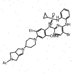 CCc1cc(Nc2ncc(Br)c(Nc3ccccc3NS(=O)(=O)C3CC3)n2)c(OC)cc1N1CCC(N2C=C3CN(C(C)=O)CC3C2)CC1